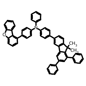 CC1(C)c2ccc(-c3ccc(N(c4ccccc4)c4ccc(-c5cccc6oc7ccccc7c56)cc4)cc3)cc2-c2cc(-c3ccccc3)cc(-c3ccccc3)c21